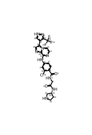 O=C(CNC(=O)c1ccc(Nc2nccn3c(-c4c[nH]nc4C(F)(F)F)cnc23)cc1Cl)N[C@H]1CCNC1